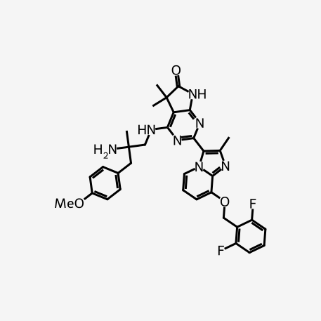 COc1ccc(CC(C)(N)CNc2nc(-c3c(C)nc4c(OCc5c(F)cccc5F)cccn34)nc3c2C(C)(C)C(=O)N3)cc1